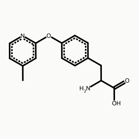 Cc1ccnc(Oc2ccc(CC(N)C(=O)O)cc2)c1